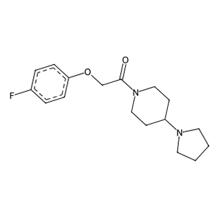 O=C(COc1ccc(F)cc1)N1CCC(N2CCCC2)CC1